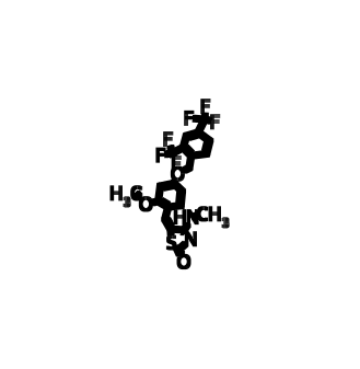 CNC1=NC(=O)SC1=Cc1ccc(OCc2ccc(C(F)(F)F)cc2C(F)(F)F)cc1OC